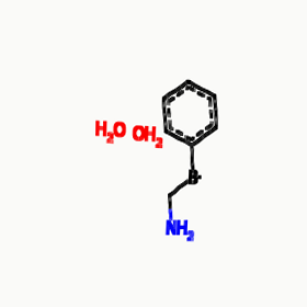 NC[B]c1ccccc1.O.O